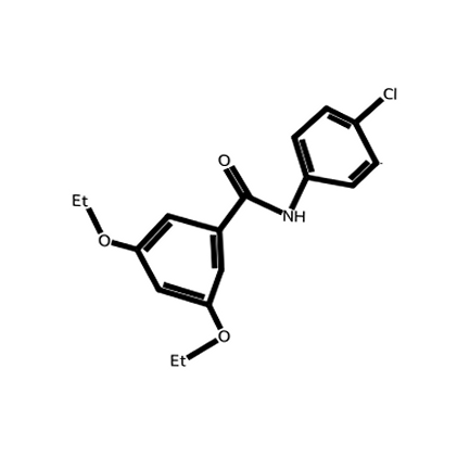 CCOc1cc(OCC)cc(C(=O)Nc2c[c]c(Cl)cc2)c1